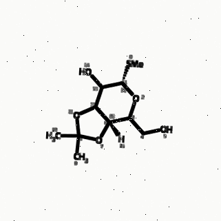 CS[C@@H]1OC(CO)[C@@H]2OC(C)(C)OC2C1O